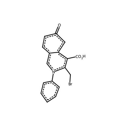 O=C(O)c1c2cc(=O)ccc-2cn(-c2ccccc2)c1CBr